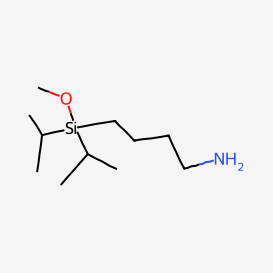 CO[Si](CCCCN)(C(C)C)C(C)C